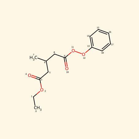 CCOC(=O)CC(C)CC(=O)OOc1ccccc1